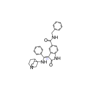 O=C1Nc2ccc(C(=O)NCc3ccccc3)cc2/C1=C(/NC1CN2CCC1CC2)c1ccccc1